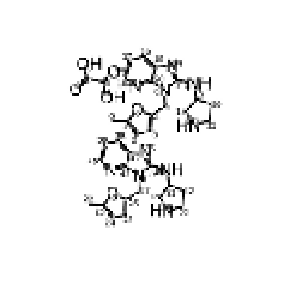 Cc1ccc(Cn2c(NC3CCNC3)nc3cccnc32)o1.Cc1ccc(Cn2c(NC3CCNC3)nc3cccnc32)o1.O=C(O)C(=O)O